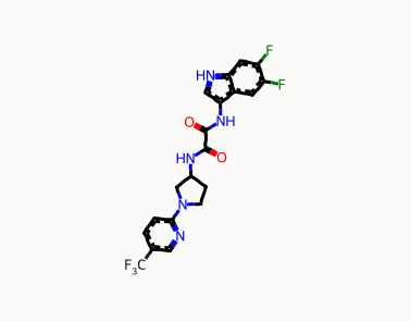 O=C(Nc1c[nH]c2cc(F)c(F)cc12)C(=O)NC1CCN(c2ccc(C(F)(F)F)cn2)C1